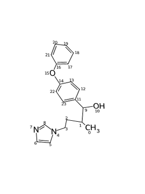 CC(CCn1ccnc1)C(O)c1ccc(Oc2ccccc2)cc1